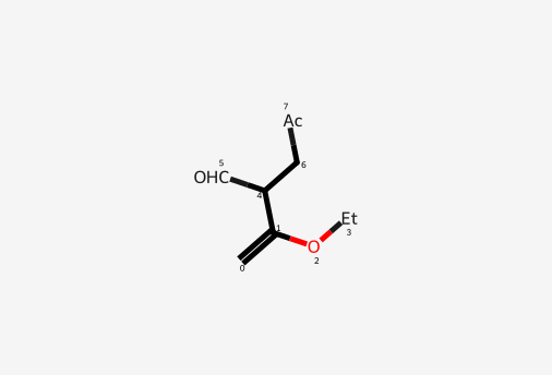 C=C(OCC)C(C=O)CC(C)=O